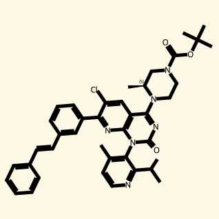 Cc1ccnc(C(C)C)c1-n1c(=O)nc(N2CCN(C(=O)OC(C)(C)C)C[C@@H]2C)c2cc(Cl)c(-c3cccc(C=Cc4ccccc4)c3)nc21